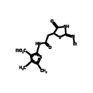 CC/N=C1/NC(=O)C(CC(=O)Nc2sc(C)c(C)c2C(=O)OCC)S1